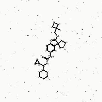 CC1(CNC(=O)C2(c3cccc(NC(=O)CC(C4CCCCC4)C4CC4)c3)CCOC2)CCC1